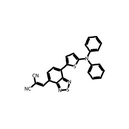 N#CC(C#N)=Cc1ccc(-c2ccc(N(c3ccccc3)c3ccccc3)s2)c2nsnc12